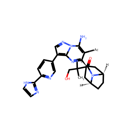 CC(=O)c1c([C@H]2C[C@H]3CC[C@@H](C2)N3C(=O)C(C)(C)CO)nc2c(-c3ccc(-c4ncc[nH]4)nc3)cnn2c1N